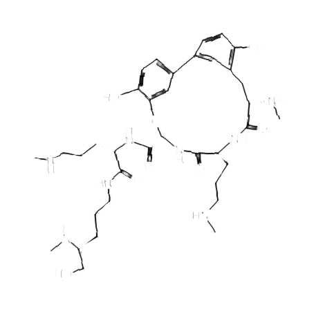 CNCCC[C@H](NC(=O)[C@@H]1Cc2cc(ccc2O)-c2ccc(O)c(c2)C[C@H](NC)C(=O)N[C@@H](CCCNC)C(=O)N1)C(=O)NCCC[C@@H](CO)NC